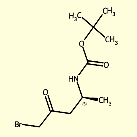 C[C@@H](CC(=O)CBr)NC(=O)OC(C)(C)C